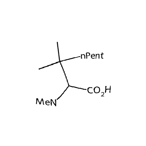 CCCCCC(C)(C)C(NC)C(=O)O